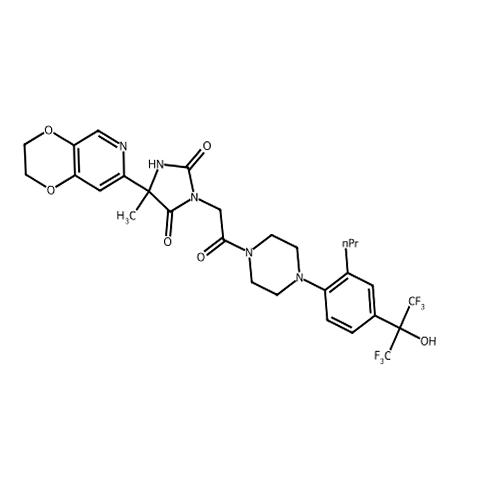 CCCc1cc(C(O)(C(F)(F)F)C(F)(F)F)ccc1N1CCN(C(=O)CN2C(=O)NC(C)(c3cc4c(cn3)OCCO4)C2=O)CC1